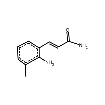 Cc1cccc(C=CC(N)=O)c1N